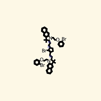 CC1(C)C(/C=C/C2=C(Br)C(=C/C=C3/N(CCOc4ccccc4Br)c4cc5ccccc5cc4C3(C)C)/CC2)=[N+](CCOc2ccccc2Br)c2cc3ccccc3cc21